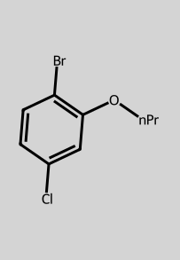 CCCOc1cc(Cl)ccc1Br